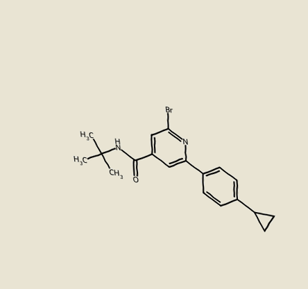 CC(C)(C)NC(=O)c1cc(Br)nc(-c2ccc(C3CC3)cc2)c1